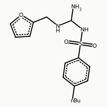 CCCCc1ccc(S(=O)(=O)NC(N)NCc2ccco2)cc1